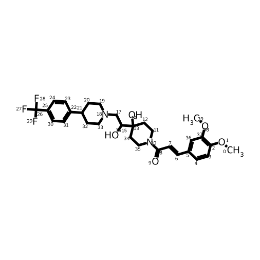 COc1ccc(C=CC(=O)N2CCC(O)(C(O)CN3CCC(c4ccc(C(F)(F)F)cc4)CC3)CC2)cc1OC